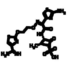 C[C@H]1[C@H](NC(=O)/C(=N\OCCOc2nc(C(=N)N)cs2)c2csc(N)n2)C(=O)N1S(=O)(=O)O